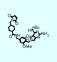 CCCCNc1nc(N)nc2cn(Cc3c(O)cc(CNC(=O)C4CCC(CN5C(=O)C=CC5=O)CC4)cc3OC)nc12